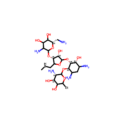 CBCC1OC(O[C@@H]2[C@H](O)C(N)CC(N)[C@H]2OC2OC(CC)C(O)[C@@H](O)[C@@H]2N)[C@@H](O)[C@H]1OC1O[C@@H](CN)C(O)C(O)C1N